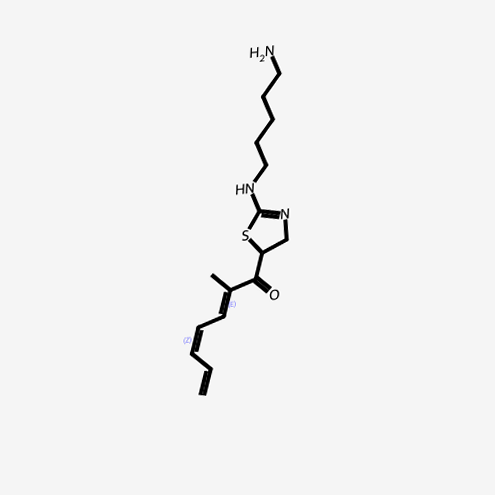 C=C/C=C\C=C(/C)C(=O)C1CN=C(NCCCCCN)S1